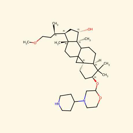 COCC[C@@H](C)[C@H]1C[C@H](O)[C@@]2(C)C3CC[C@H]4C(C)(C)[C@@H](OC5CN(C6CCNCC6)CCO5)CC[C@@]45CC35CC[C@]12C